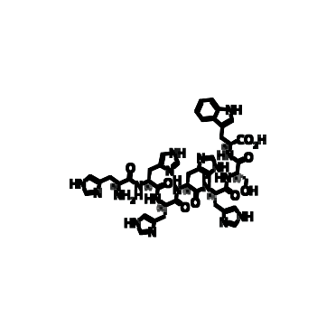 N[C@@H](Cc1c[nH]cn1)C(=O)N[C@@H](Cc1c[nH]cn1)C(=O)N[C@@H](Cc1c[nH]cn1)C(=O)N[C@@H](Cc1c[nH]cn1)C(=O)N[C@@H](Cc1c[nH]cn1)C(=O)N[C@@H](CO)C(=O)N[C@@H](Cc1c[nH]c2ccccc12)C(=O)O